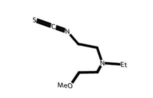 CCN(CCN=C=S)CCOC